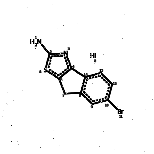 I.Nc1nc2c(s1)Cc1cc(Br)ccc1-2